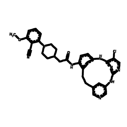 COc1cccc(N2CCC(CC(=O)Nc3ccc4cc3CCc3cncc(c3)Nc3ncc(Cl)c(n3)N4)CC2)c1C#N